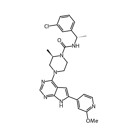 COc1cc(-c2cc3c(N4CCN(C(=O)N[C@@H](C)c5cccc(Cl)c5)[C@H](C)C4)ncnc3[nH]2)ccn1